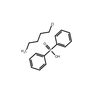 CCCCCCl.O=P(O)(c1ccccc1)c1ccccc1